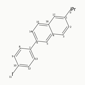 CC(C)c1ccc2cc(-c3ccc(I)cc3)ccc2c1